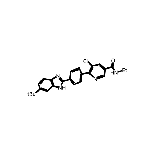 CCNC(=O)c1cnc(-c2ccc(-c3nc4ccc(C(C)(C)C)cc4[nH]3)cc2)c(Cl)c1